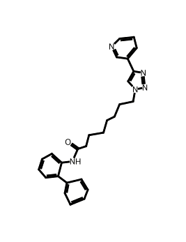 O=C(CCCCCCCn1cc(-c2cccnc2)nn1)Nc1ccccc1-c1ccccc1